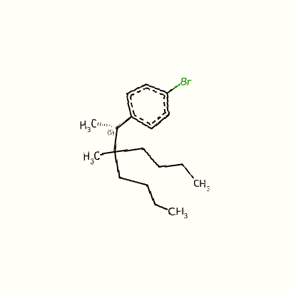 CCCCC(C)(CCCC)[C@H](C)c1ccc(Br)cc1